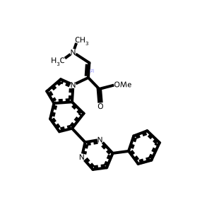 COC(=O)/C(=C/N(C)C)n1ccc2ccc(-c3nccc(-c4ccccc4)n3)cc21